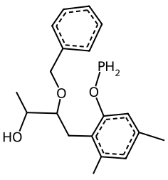 Cc1cc(C)c(CC(OCc2ccccc2)C(C)O)c(OP)c1